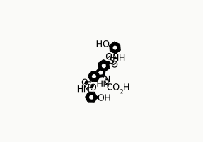 O=C(O)NN=C1c2cc(S(=O)(=O)Nc3cccc(O)c3)ccc2-c2ccc(S(=O)(=O)Nc3cccc(O)c3)cc21